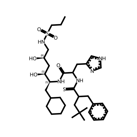 CCCS(=O)(=O)NC[C@H](O)C[C@H](O)[C@H](CC1CCCCC1)NC(=O)C(Cc1c[nH]cn1)NC(=S)C(Cc1ccccc1)CC(C)(C)C